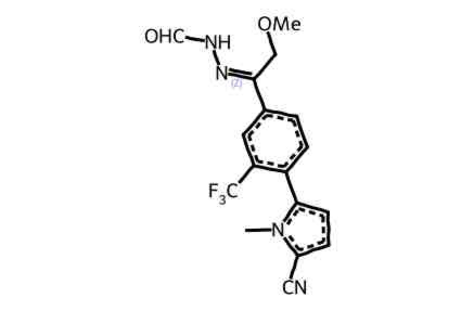 COC/C(=N\NC=O)c1ccc(-c2ccc(C#N)n2C)c(C(F)(F)F)c1